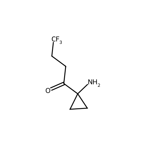 NC1(C(=O)CCC(F)(F)F)CC1